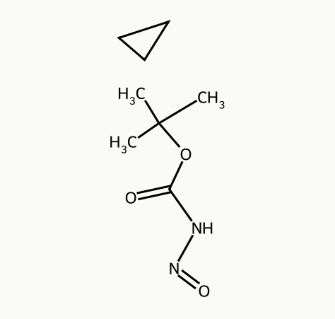 C1CC1.CC(C)(C)OC(=O)NN=O